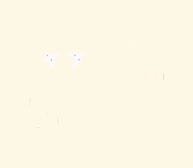 CC(Oc1ccc(-n2cnc3cc(C(F)(F)F)ccc32)cc1)C(=O)O